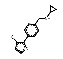 Cc1ccsc1-c1ccc(CNC2CC2)cc1